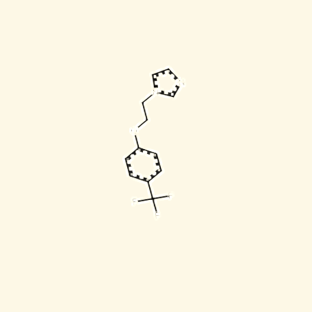 FC(F)(F)c1ccc(OCCn2ccnc2)cc1